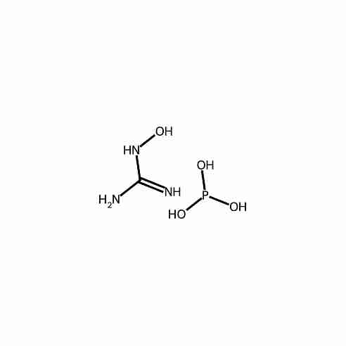 N=C(N)NO.OP(O)O